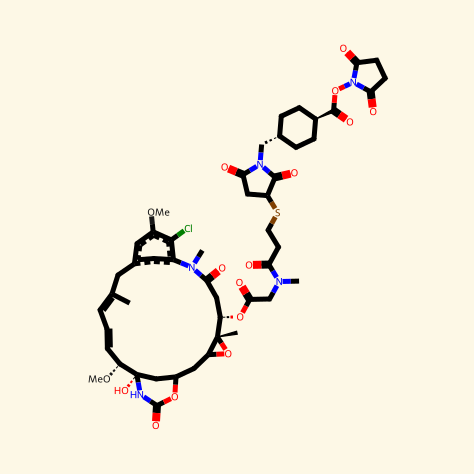 COc1cc2cc(c1Cl)N(C)C(=O)C[C@H](OC(=O)CN(C)C(=O)CCSC1CC(=O)N(C[C@H]3CC[C@H](C(=O)ON4C(=O)CCC4=O)CC3)C1=O)[C@]1(C)OC1CC1C[C@@](O)(NC(=O)O1)[C@H](OC)/C=C/C=C(\C)C2